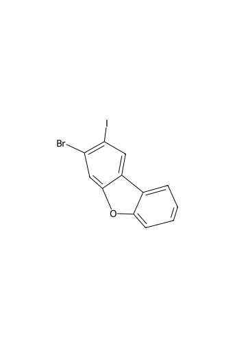 Brc1cc2oc3ccccc3c2cc1I